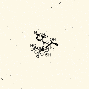 C#C[C@H](O)[C@@](F)(COP(=O)(O)OP(=O)(O)OP(=O)(O)O)O[C@H](CO)n1ccc(=O)[nH]c1=O